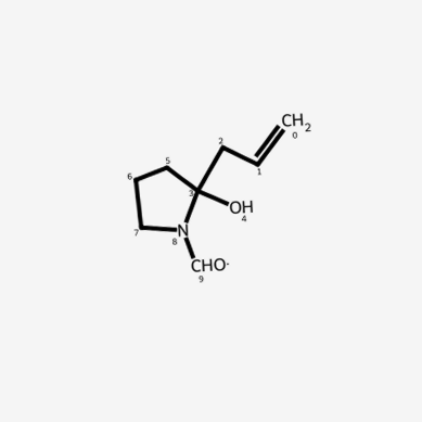 C=CCC1(O)CCCN1[C]=O